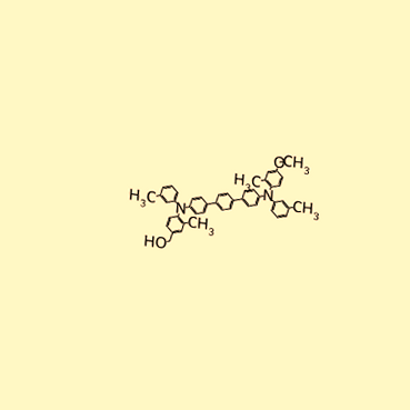 COc1ccc(N(c2ccc(-c3ccc(-c4ccc(N(c5cccc(C)c5)c5ccc(CO)cc5C)cc4)cc3)cc2)c2cccc(C)c2)c(C)c1